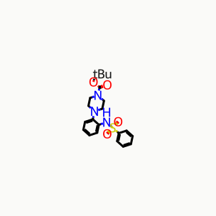 CC(C)(C)OC(=O)N1CCN(c2ccccc2NS(=O)(=O)c2ccccc2)CC1